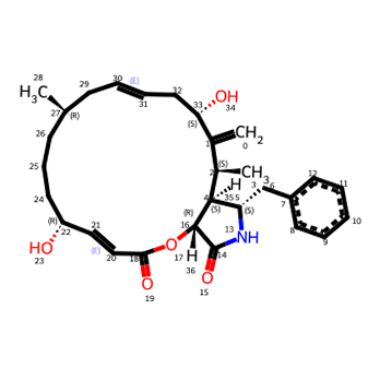 C=C1[C@@H](C)[C@H]2[C@H](Cc3ccccc3)NC(=O)[C@@H]2OC(=O)/C=C/[C@H](O)CCC[C@@H](C)C/C=C/C[C@@H]1O